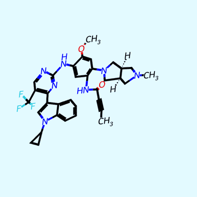 CC#CC(=O)Nc1cc(Nc2ncc(C(F)(F)F)c(-c3cn(C4CC4)c4ccccc34)n2)c(OC)cc1N1C[C@H]2CN(C)C[C@H]2C1